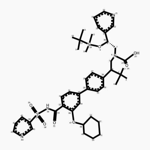 CC(C)(C)C(CN(C[C@H](O[Si](C)(C)C(C)(C)C)c1cccnc1)C(=O)O)c1ccc(-c2ccc(C(=O)NS(=O)(=O)c3cccnc3)c(OC3CCCCC3)c2)cc1